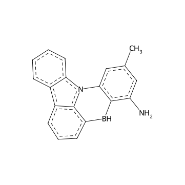 Cc1cc(N)c2c(c1)-n1c3ccccc3c3cccc(c31)B2